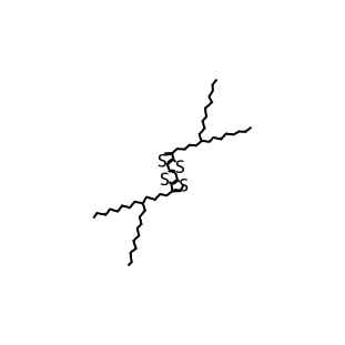 CCCCCCCCCCC(CCCCCCCC)CCCCc1csc2c1sc1c3scc(CCCCC(CCCCCCCC)CCCCCCCCCC)c3sc21